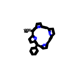 O=C([O-])c1c2nc(c(-c3ccccc3)c3ccc(cc4nc(cc5ccc1[nH]5)C=C4)[nH]3)C=C2.[Na+]